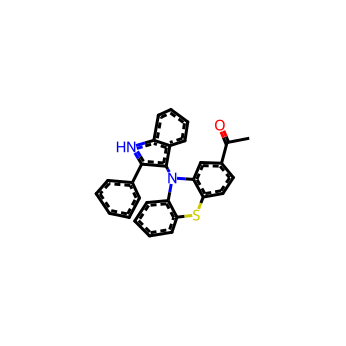 CC(=O)c1ccc2c(c1)N(c1c(-c3ccccc3)[nH]c3ccccc13)c1ccccc1S2